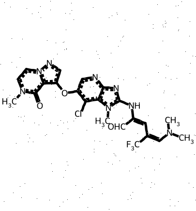 CN(C)/C=C(\C=C(/C=O)Nc1nc2ncc(Oc3cnn4ccn(C)c(=O)c34)c(Cl)c2n1C)C(F)(F)F